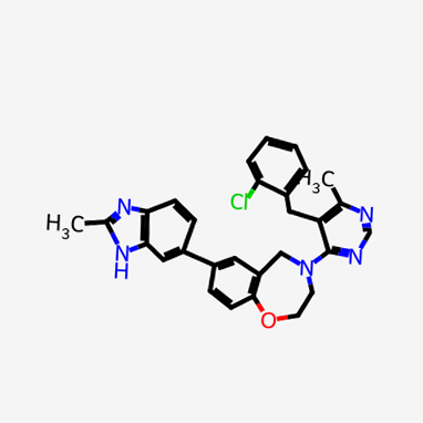 Cc1nc2ccc(-c3ccc4c(c3)CN(c3ncnc(C)c3Cc3ccccc3Cl)CCO4)cc2[nH]1